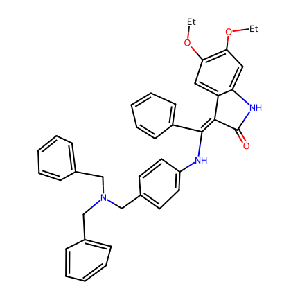 CCOc1cc2c(cc1OCC)/C(=C(/Nc1ccc(CN(Cc3ccccc3)Cc3ccccc3)cc1)c1ccccc1)C(=O)N2